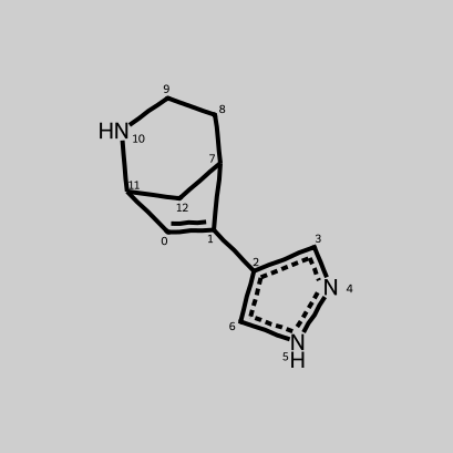 C1=C(c2cn[nH]c2)C2CCNC1C2